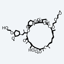 COCCOCCOC1C[C@@H]2CC[C@@H](C)[C@@](O)(O2)C(=O)C(=O)N2CCCC[C@H]2C(=O)O[C@H]([C@H](C)C[C@@H]2CC[C@@H](OCCO)[C@H](OC)C2)CC(=O)[C@H](C)/C=C(\C)[C@@H](O)[C@@H](OC)C(=O)[C@H](C)C[C@H](C)/C=C/C=C/C=C/1C